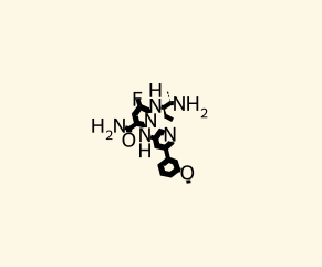 CC[C@@H](Nc1nc(Nc2cncc(-c3cccc(OC)c3)c2)c(C(N)=O)cc1F)[C@H](C)N